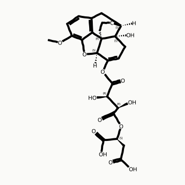 COc1ccc2c3c1O[C@@H]1C(OC(=O)[C@H](O)[C@@H](O)C(=O)O[C@@H](CC(=O)O)C(=O)O)=CC[C@]4(O)[C@@H](CCC[C@@]314)C2